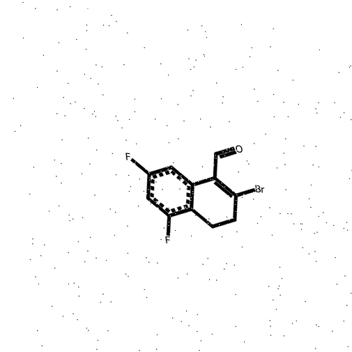 O=CC1=C(Br)CCc2c(F)cc(F)cc21